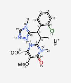 COc1c(C(=O)[O-])nc(C(C)C(c2ccccc2Cl)c2nncn2C)n(C)c1=O.[Li+]